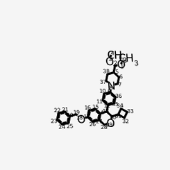 COC(OC)C1CCN(c2ccc(C3c4ccc(OCc5ccccc5)cc4COC3C3CCC3)cc2)CC1